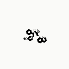 CN(C(=O)CSc1cccc2cccnc12)C(CN1CC[C@H](O)C1)c1ccccc1